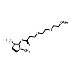 COCCOCCOCCC(=O)OC1N(C)C=CN1C